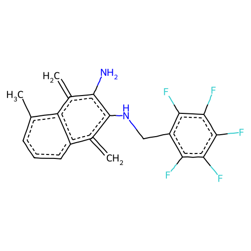 C=c1c(NCc2c(F)c(F)c(F)c(F)c2F)c(N)c(=C)c2c(C)cccc12